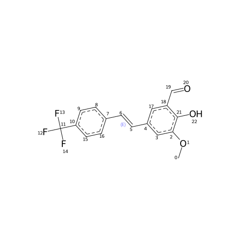 COc1cc(/C=C/c2ccc(C(F)(F)F)cc2)cc(C=O)c1O